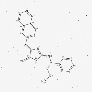 COC[C@H](NC1=N/C(=C\c2ccc3nnccc3c2)C(=O)N1)c1ccccc1